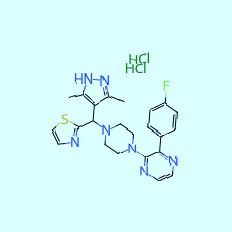 Cc1n[nH]c(C)c1C(c1nccs1)N1CCN(c2nccnc2-c2ccc(F)cc2)CC1.Cl.Cl